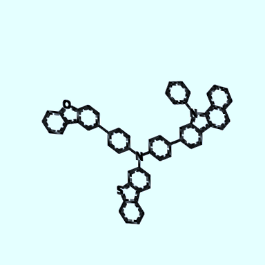 c1ccc(-n2c3cc(-c4ccc(N(c5ccc(-c6ccc7oc8ccccc8c7c6)cc5)c5ccc6c(c5)sc5ccccc56)cc4)ccc3c3ccc4ccccc4c32)cc1